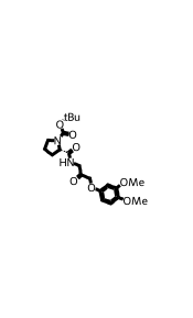 COc1ccc(OCC(=O)CNC(=O)[C@@H]2CCCN2C(=O)OC(C)(C)C)cc1OC